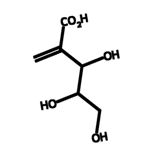 C=C(C(=O)O)C(O)C(O)CO